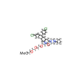 COCCOCCOCCOCCn1c(=O)c(N2CCN(c3ccccc3)CC2)cc2cc(C(c3ccc(Cl)cc3)c3ccc(Cl)cc3)ccc21